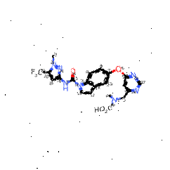 CN(Cc1cc(Oc2ccc3c(ccn3C(=O)Nc3cc(C(F)(F)F)n(C)n3)c2)ncn1)C(=O)O